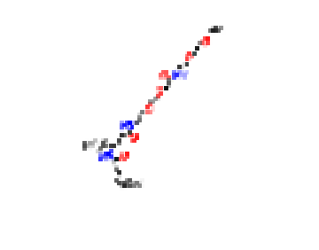 CCCCCCCCCCCCCC(=O)NC(CCC(=O)NCCOCCOCC(=O)NCCOCCOCC(C)=O)C(=O)O